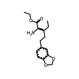 CCOC(=O)C(N)=C(CC)CCc1ccc2c(c1)OCO2